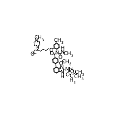 CNC(=O)N(C(=O)c1ccc(-c2cccc3[nH]c(NC(=O)OC(C)(C)C)nc23)c(OC)c1)c1ccc(C)cc1OCCCCC(=C=O)N1CCN(C)CC1